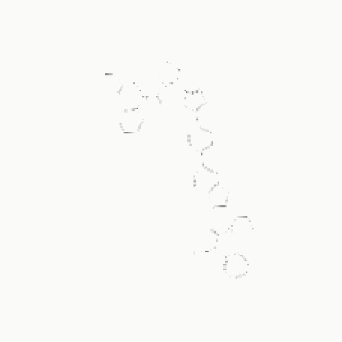 COC(=O)N[C@@H](C(=O)N1CCC[C@H]1c1ncc(-c2ccc(-c3ccc4[nH]c([C@@H]5CCCN5C(=O)[C@H](C)c5ccccc5)nc4c3)cc2)[nH]1)c1ccccc1